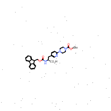 CC(C)(C)OC(=O)N1CCN(c2ccc(C[C@H](NC(=O)OCC3c4ccccc4-c4ccccc43)C(=O)O)cn2)CC1